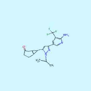 CC(C)n1nc(-c2cnc(N)c(C(F)(F)F)c2)cc1C1C2CCC(=O)C21